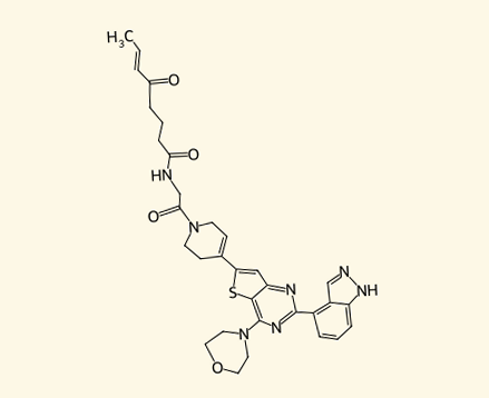 C/C=C/C(=O)CCCC(=O)NCC(=O)N1CC=C(c2cc3nc(-c4cccc5[nH]ncc45)nc(N4CCOCC4)c3s2)CC1